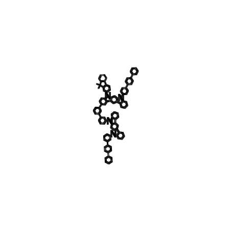 CC1(C)C2=C(CCC=C2)c2ccc(-n3c4ccc(-c5cccc(-c6cccc(-n7c8ccccc8c8cc9c%10ccccc%10n(-c%10cccc(-c%11ccc(-c%12ccccc%12)cc%11)c%10)c9cc87)c6)c5)cc4c4cc5c6ccccc6n(-c6ccc(-c7ccc(-c8ccccc8)cc7)cc6)c5cc43)cc21